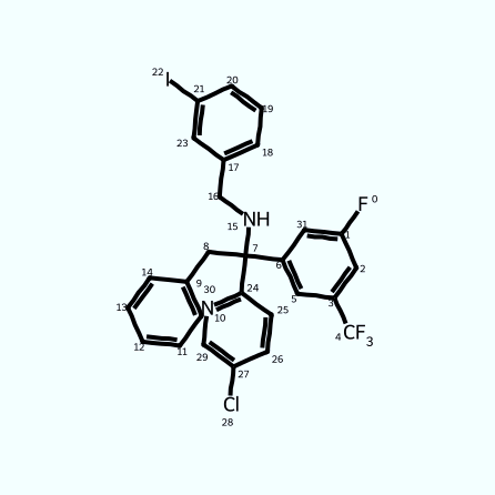 Fc1cc(C(F)(F)F)cc(C(Cc2ccccc2)(NCc2cccc(I)c2)c2ccc(Cl)cn2)c1